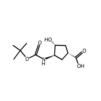 CC(C)(C)OC(=O)N[C@@H]1C[C@@H](C(=O)O)C[C@H]1O